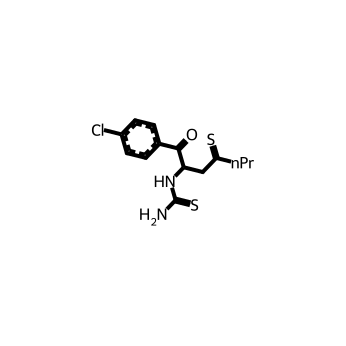 CCCC(=S)CC(NC(N)=S)C(=O)c1ccc(Cl)cc1